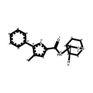 Cc1cc(C(=O)N[C@H]2CN3CCC2CC3)sc1-c1ccccc1